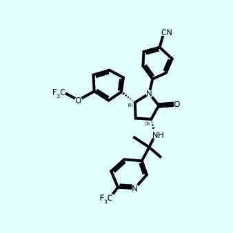 CC(C)(N[C@@H]1C[C@H](c2cccc(OC(F)(F)F)c2)N(c2ccc(C#N)cc2)C1=O)c1ccc(C(F)(F)F)nc1